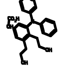 O=C(O)O.OCCc1cccc(N(c2ccccc2)c2ccccc2)c1CCO